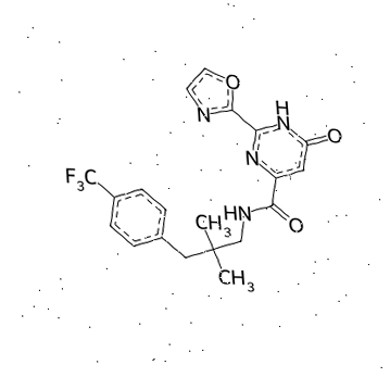 CC(C)(CNC(=O)c1cc(=O)[nH]c(-c2ncco2)n1)Cc1ccc(C(F)(F)F)cc1